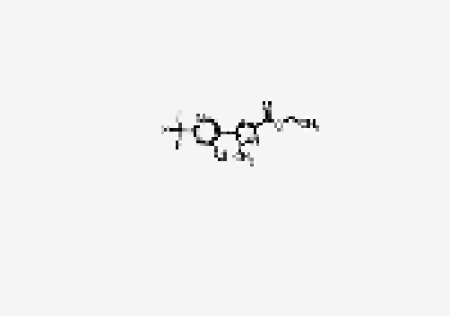 CCOC(=O)c1cc(-c2cnc(C(F)(F)F)cc2Cl)n(C)n1